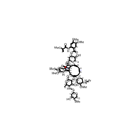 C=C(OC)C(=O)Nc1cc(OC)c(OC)cc1C(=O)O[C@H]1CC(O[C@@H]2C(=O)C(NC(=O)OC)=C3/C(=C\CSSSC)[C@]2(O)C#C/C=C\CC#C[C@@H]3O[C@@H]2OC(C)[C@@H](NO[C@H]3C[C@H](O)[C@H](SC)[C@@H](C)O3)[C@H](O)[C@H]2O[C@H]2C[C@H](OC)[C@@H](NC(C)C)CO2)O[C@@H](C)[C@@H]1O